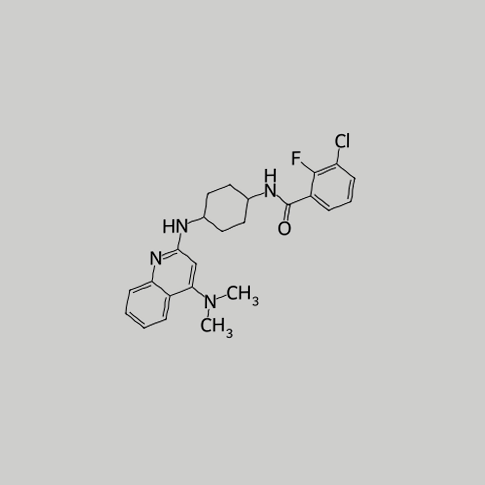 CN(C)c1cc(NC2CCC(NC(=O)c3cccc(Cl)c3F)CC2)nc2ccccc12